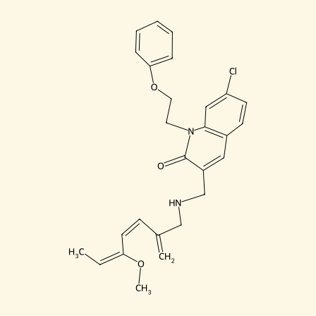 C=C(/C=C\C(=C/C)OC)CNCc1cc2ccc(Cl)cc2n(CCOc2ccccc2)c1=O